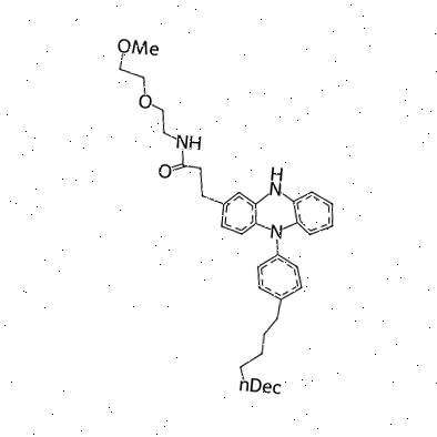 CCCCCCCCCCCCCCc1ccc(N2c3ccccc3Nc3cc(CCC(=O)NCCOCCOC)ccc32)cc1